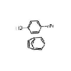 C1=Cc2cccc1c2.CCCc1ccc(O)cc1